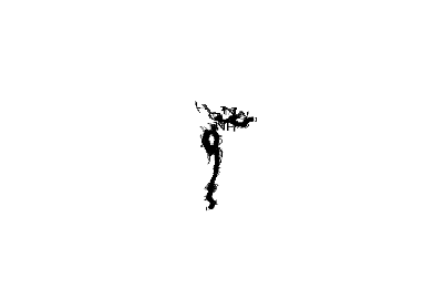 CCCC=CCCOc1cccc(CNC(=O)c2ccc(C)nc2N)c1